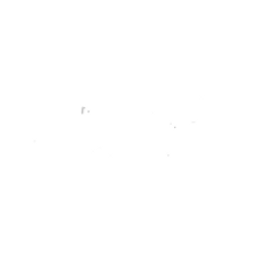 Cc1ccc(N2C(=O)C3=C(CCCC3)C2=O)cc1NC(C)C(=O)O